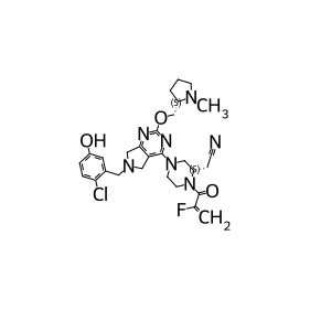 C=C(F)C(=O)N1CCN(c2nc(OC[C@@H]3CCCN3C)nc3c2CN(Cc2cc(O)ccc2Cl)C3)C[C@@H]1CC#N